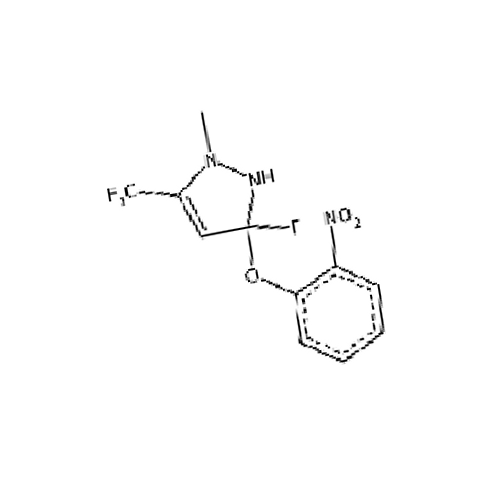 CN1NC(F)(Oc2ccccc2[N+](=O)[O-])C=C1C(F)(F)F